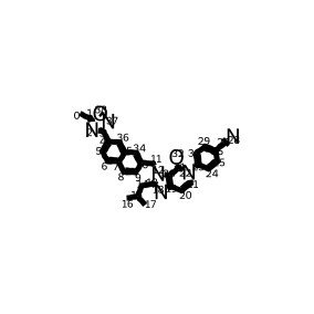 Cc1nc(-c2ccc3ccc(Cn4c(CC(C)C)nc5ccn(-c6ccc(C#N)cc6)c(=O)c54)cc3c2)no1